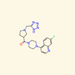 O=C(C1CCN(Cc2nnn[nH]2)C1)N1CCN(c2ccnc3cc(F)ccc23)CC1